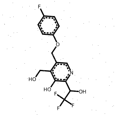 OCc1c(COc2ccc(F)cc2)cnc(C(O)C(F)(F)F)c1O